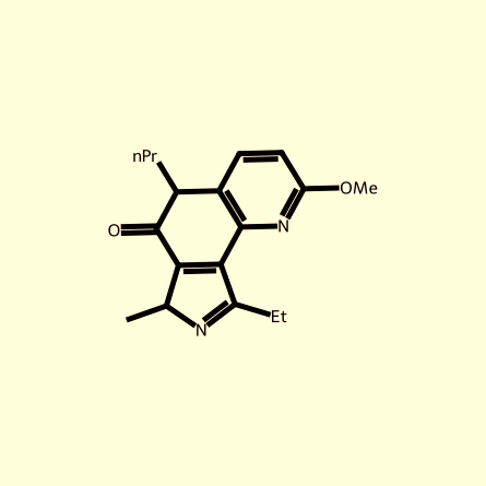 CCCC1C(=O)C2=C(C(CC)=NC2C)c2nc(OC)ccc21